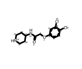 O=C(COc1ccc(Cl)c(Cl)c1)NC1CCNCC1